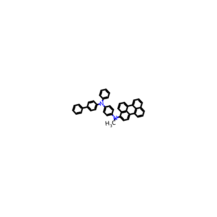 CN(c1ccc(N(c2ccccc2)c2ccc(-c3ccccc3)cc2)cc1)c1ccc2c3cccc4cccc(c5cccc1c52)c43